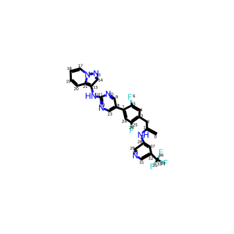 C=C(Cc1cc(F)c(-c2cnc(Nc3cnn4ccccc34)nc2)cc1F)Nc1cncc(C(F)(F)F)c1